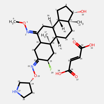 CO/N=C1\C[C@H]2[C@@H]3CC[C@H](O)[C@@]3(C)CC[C@@H]2[C@@]2(C)C[C@@H](F)/C(=N\O[C@@H]3CCNC3)CC12.O=C(O)/C=C/C(=O)O